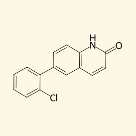 O=c1ccc2cc(-c3ccccc3Cl)ccc2[nH]1